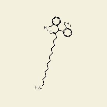 CCCCCCCCCCCCCCC(=O)C(c1ccccc1C)c1ccccc1C